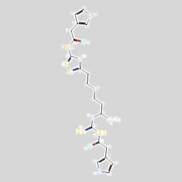 CNC(CCSCCc1nnc(NC(=O)Cc2ccsc2)s1)SC(=N)NC(=O)Cc1ccsc1